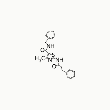 Cc1nc(NC(=O)CCc2ccccc2)sc1C(=O)NCc1ccccc1